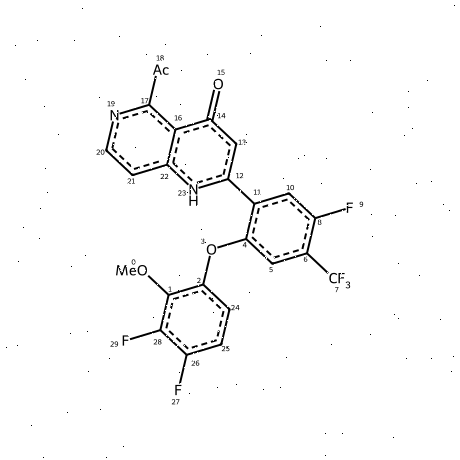 COc1c(Oc2cc(C(F)(F)F)c(F)cc2-c2cc(=O)c3c(C(C)=O)nccc3[nH]2)ccc(F)c1F